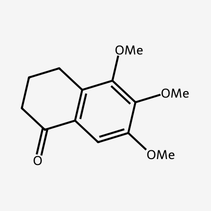 COc1cc2c(c(OC)c1OC)CCCC2=O